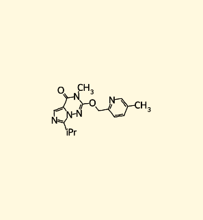 Cc1ccc(COc2nn3c(C(C)C)ncc3c(=O)n2C)nc1